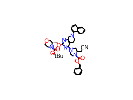 CC(C)(C)OC(=O)N1CCOC[C@@H]1COc1nc2c(c(N3CCN(C(=O)OCc4ccccc4)C(CC#N)C3)n1)CCN(c1cccc3ccccc13)C2